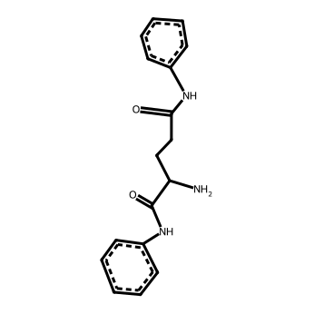 NC(CCC(=O)Nc1ccccc1)C(=O)Nc1ccccc1